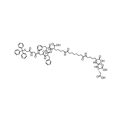 O=C(O)CC[C@H](NC(=O)N[C@@H](CCCCNC(=O)CCCCCCC(=O)NCCCCC(NC(=O)C(Cc1ccccc1)NC(=O)C(Cc1ccccc1)NC(=O)CNC(=O)CNC(=O)CSC(c1ccccc1)(c1ccccc1)c1ccccc1)C(=O)O)C(=O)O)C(=O)O